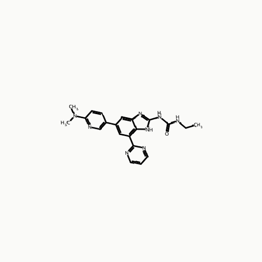 CCNC(=O)Nc1nc2cc(-c3ccc(N(C)C)nc3)cc(-c3ncccn3)c2[nH]1